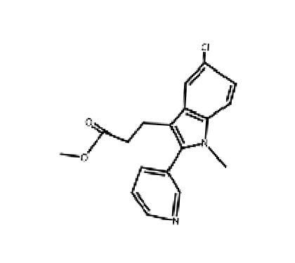 COC(=O)CCc1c(-c2cccnc2)n(C)c2ccc(Cl)cc12